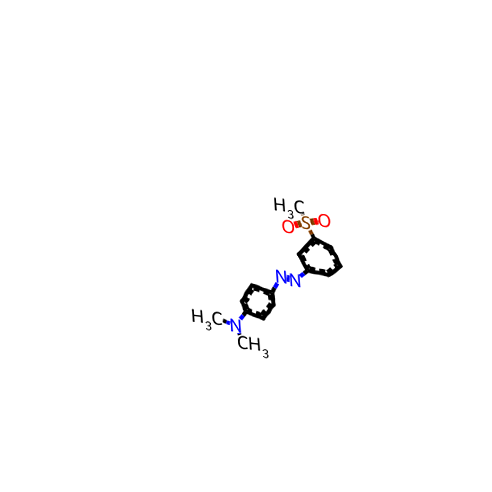 CN(C)c1ccc(N=Nc2cccc(S(C)(=O)=O)c2)cc1